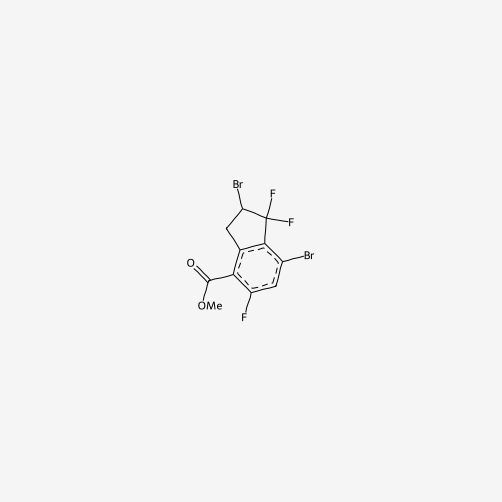 COC(=O)c1c(F)cc(Br)c2c1CC(Br)C2(F)F